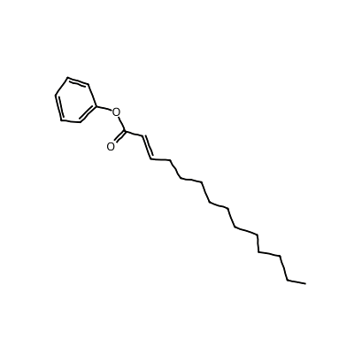 CCCCCCCCCCC/C=C/C(=O)Oc1ccccc1